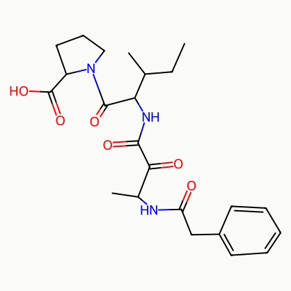 CCC(C)C(NC(=O)C(=O)C(C)NC(=O)Cc1ccccc1)C(=O)N1CCCC1C(=O)O